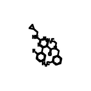 CCN(Cc1cccc(C)c1)C(=O)c1cnc(NCC2CC2)nc1-c1ccccc1F